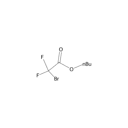 CCCCOC(=O)C(F)(F)Br